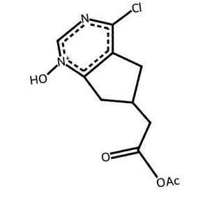 CC(=O)OC(=O)CC1Cc2c(Cl)nc[n+](O)c2C1